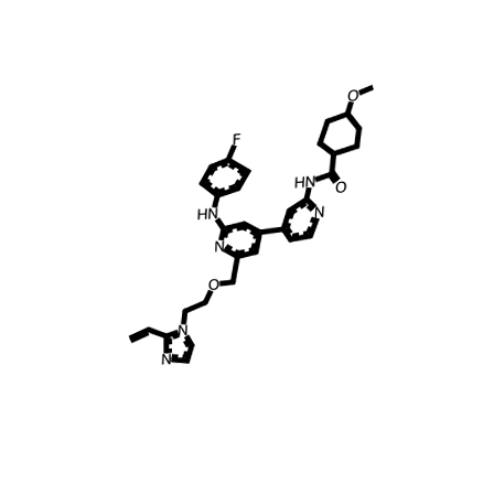 C=Cc1nccn1CCOCc1cc(-c2ccnc(NC(=O)C3CCC(OC)CC3)c2)cc(Nc2ccc(F)cc2)n1